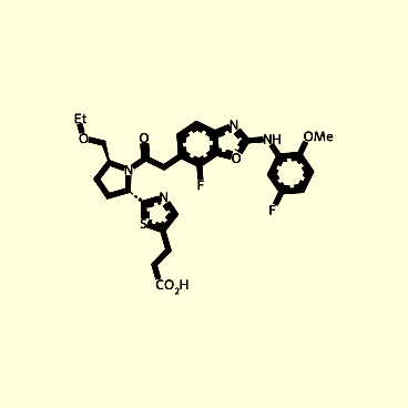 CCOC[C@@H]1CC[C@@H](c2ncc(CCC(=O)O)s2)N1C(=O)Cc1ccc2nc(Nc3cc(F)ccc3OC)oc2c1F